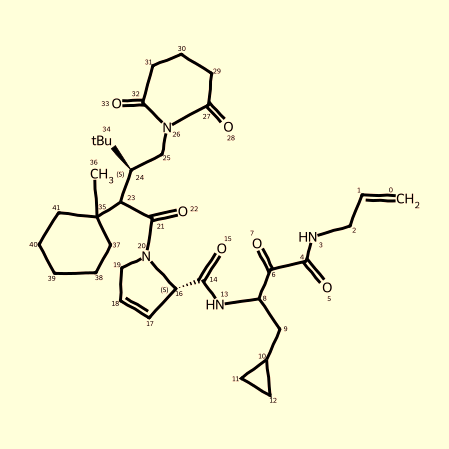 C=CCNC(=O)C(=O)C(CC1CC1)NC(=O)[C@@H]1C=CCN1C(=O)C([C@H](CN1C(=O)CCCC1=O)C(C)(C)C)C1(C)CCCCC1